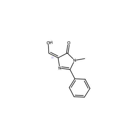 CN1C(=O)/C(=C\O)N=C1c1ccccc1